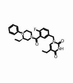 CCc1cn(Cc2ccc(F)c(C(=O)N3CCN(c4ccccc4)[C@H](CC)C3)c2)c(=O)[nH]c1=O